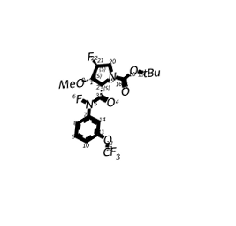 CO[C@H]1[C@@H](C(=O)N(F)c2cccc(OC(F)(F)F)c2)N(C(=O)OC(C)(C)C)C[C@@H]1F